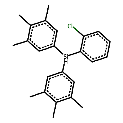 Cc1cc([SiH](c2cc(C)c(C)c(C)c2)c2ccccc2Cl)cc(C)c1C